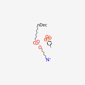 CCCCCCCCCCCCCCCCC[C@@H]1OC[C@@H](COCCCCCC[N+](C)(C)C)O1.Cc1ccc(S(=O)(=O)[O-])cc1